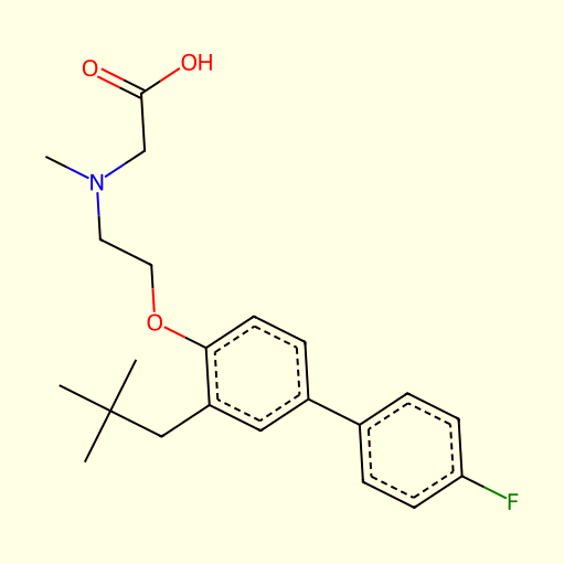 CN(CCOc1ccc(-c2ccc(F)cc2)cc1CC(C)(C)C)CC(=O)O